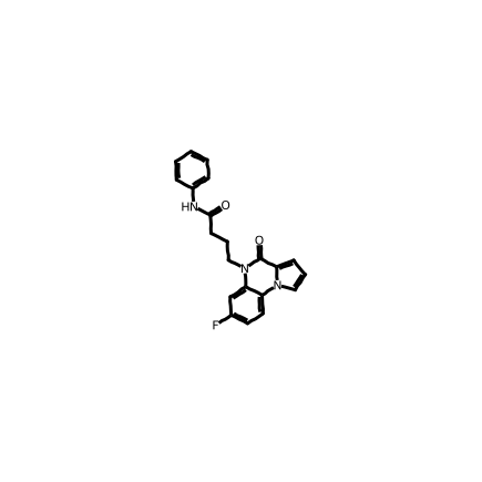 O=C(CCCn1c(=O)c2cccn2c2ccc(F)cc21)Nc1ccccc1